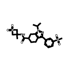 CC(C)n1nc(-c2cccc(S(C)(=O)=O)c2)c2c1CC(C(=O)NC1(C)CS(=O)(=O)C1)CC2